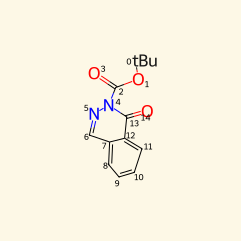 CC(C)(C)OC(=O)n1ncc2ccccc2c1=O